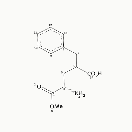 COC(=O)[C@@H](N)CC(Cc1ccccc1)C(=O)O